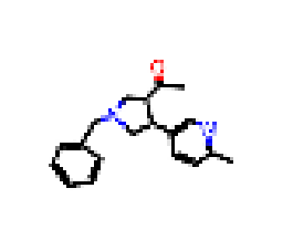 CC(=O)C1CN(Cc2ccccc2)CC1c1ccc(C)nc1